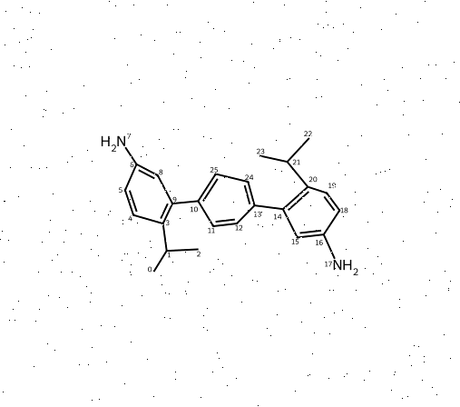 CC(C)c1ccc(N)cc1-c1ccc(-c2cc(N)ccc2C(C)C)cc1